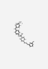 Cc1cccc(CCCN2CCN(C(=O)Oc3ccc(Cc4ccc(C(F)(F)F)cn4)cc3)CC2)n1